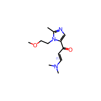 COCCn1c(C(=O)/C=C/N(C)C)cnc1C